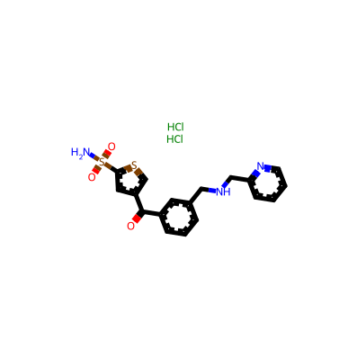 Cl.Cl.NS(=O)(=O)c1cc(C(=O)c2cccc(CNCc3ccccn3)c2)cs1